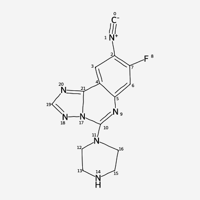 [C-]#[N+]c1cc2c(cc1F)nc(N1CCNCC1)n1ncnc21